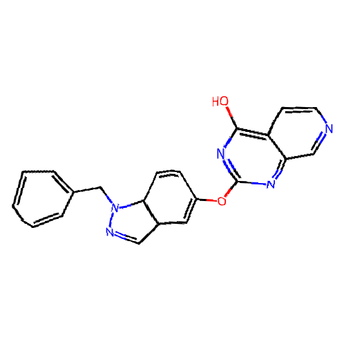 Oc1nc(OC2=CC3C=NN(Cc4ccccc4)C3C=C2)nc2cnccc12